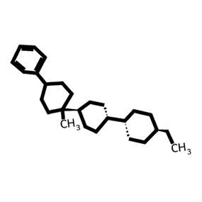 CC[C@H]1CC[C@H]([C@H]2CC[C@H](C3(C)CCC(c4ccccc4)CC3)CC2)CC1